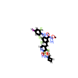 CONC(=O)c1cc(Cc2ccnc(S(=O)(=O)NC3(C)CCC3)c2F)c(F)c(F)c1Nc1ccc(I)cc1F